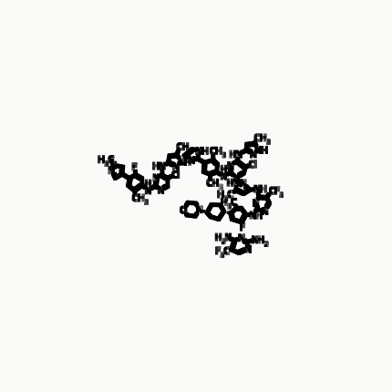 Cc1cc(Nc2nc(Nc3cc(C)c(-c4ncc[nH]4)cc3C)ncc2Cl)n[nH]1.Cc1cc(Nc2nc(Nc3cc(C)c([C@H]4CC[C@@H](N5CCOCC5)CC4)cc3F)ncc2C(F)(F)F)n[nH]1.Cc1cc(Nc2nc(Nc3cc(F)c(-c4cnn(C)c4)cc3C)ncc2Cl)n[nH]1.Nc1ncc(C(F)(F)F)c(N)n1